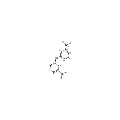 CN(C)c1cccc(Oc2cccc(N(C)C)c2)c1